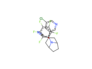 N#CC1(c2cncc(Cl)c2)CC2CCC(C1)N2c1c(F)c(F)c(F)c(F)c1F